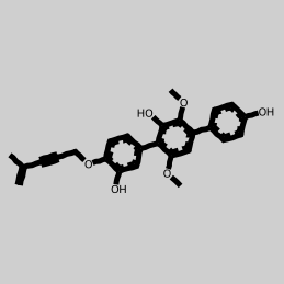 C=C(C)C#CCOc1ccc(-c2c(OC)cc(-c3ccc(O)cc3)c(OC)c2O)cc1O